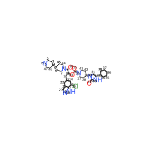 CN1CCC(C2CCN(C(=O)[C@@H](Cc3cc(Cl)c4[nH]ncc4c3)OC(=O)N3CCC(n4cc(-c5ccccc5)[nH]c4=O)CC3)CC2)CC1